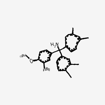 CCCCOc1ccc(C(N)(c2ccc(C)c(C)c2)c2ccc(C)c(C)c2)cc1CCCC